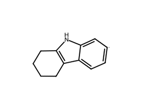 [c]1ccc2c3c([nH]c2c1)CCCC3